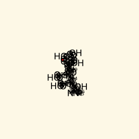 COc1c(S(=O)(=O)O)c2cc(S(=O)(=O)O)cc(S(=O)(=O)O)c2c2sc(N=Nc3cc(SCCCS(=O)(=O)O)c(N=Nc4cc(OCCCS(=O)(=O)O)c(N=Nc5c(C)c(C#N)c6nc7ccccc7n6c5O)cc4C)cc3NC(C)=O)nc12